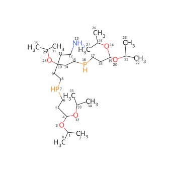 CC(C)OC(CCPCCC(CCN)(CCPCCC(OC(C)C)OC(C)C)OC(C)C)OC(C)C